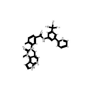 Cc1ccc(C(=O)Nc2cc(-c3ccccn3)cc(C(F)(F)F)c2)cc1N1Cc2cnc3[nH]ccc3c2N(C)C1=O